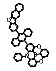 c1ccc(N2c3cccc4c3B3c5c(cccc5Oc5cc(-c6c7ccccc7c(-c7ccc8oc9cc%10ccccc%10cc9c8c7)c7ccccc67)cc2c53)O4)cc1